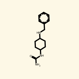 NC(=O)NC1CCC(NCc2ccccc2)CC1